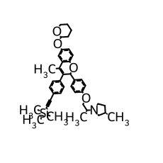 CC1=C(c2ccc(C#C[Si](C)(C)C)cc2)C(c2ccc(OC[C@H](C)N3CC[C@@H](C)C3)cc2)Oc2ccc(OC3CCCCO3)cc21